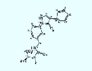 CC(C)[C@@H](C(=O)O)N(C)C(=O)NCc1ccnc(-n2[nH]cc(-c3cccnc3)c2=O)c1